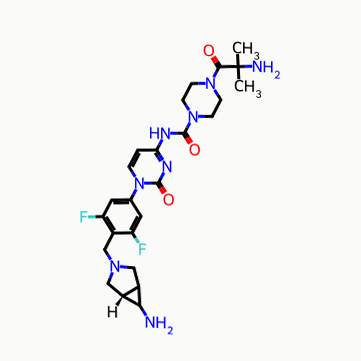 CC(C)(N)C(=O)N1CCN(C(=O)Nc2ccn(-c3cc(F)c(CN4CC5C(N)[C@@H]5C4)c(F)c3)c(=O)n2)CC1